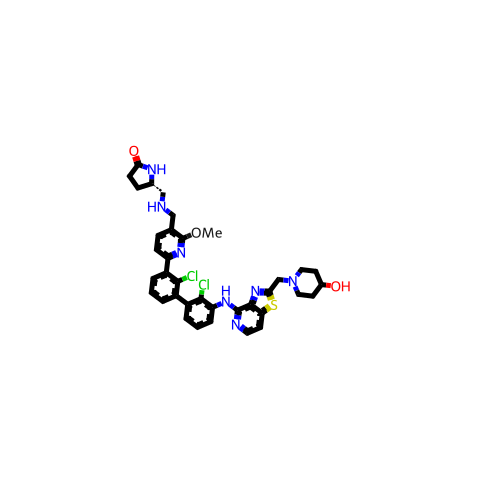 COc1nc(-c2cccc(-c3cccc(Nc4nccc5sc(CN6CCC(O)CC6)nc45)c3Cl)c2Cl)ccc1CNC[C@@H]1CCC(=O)N1